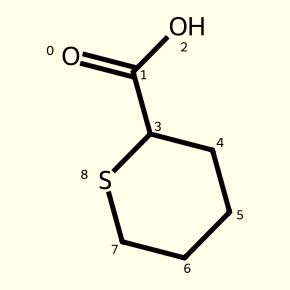 O=C(O)C1CCCCS1